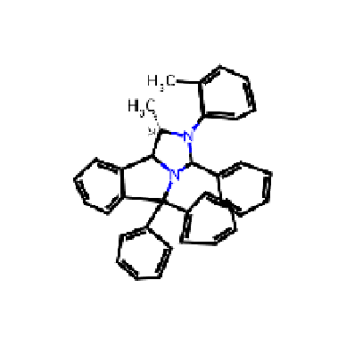 Cc1ccccc1N1C(c2ccccc2)N2C(c3ccccc3C2(c2ccccc2)c2ccccc2)[C@@H]1C